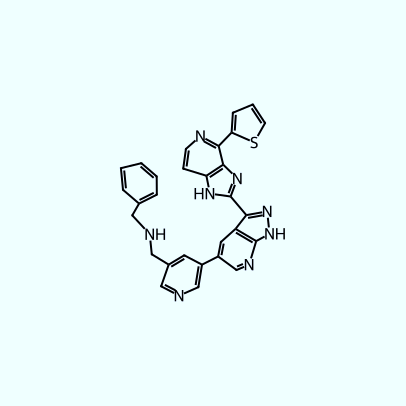 c1ccc(CNCc2cncc(-c3cnc4[nH]nc(-c5nc6c(-c7cccs7)nccc6[nH]5)c4c3)c2)cc1